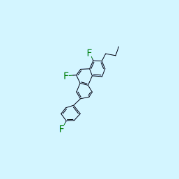 CCCc1ccc2c(cc(F)c3cc(-c4ccc(F)cc4)ccc32)c1F